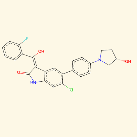 O=C1Nc2cc(Cl)c(-c3ccc(N4CC[C@H](O)C4)cc3)cc2C1=C(O)c1ccccc1F